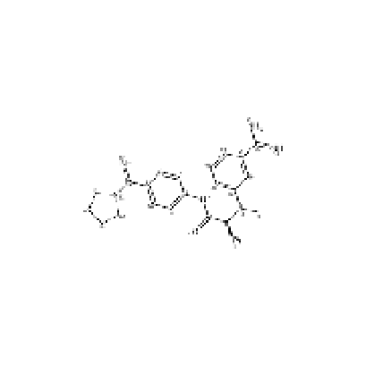 CC(C)[C@@H](C(=O)Oc1ccc(C(=N)N2CCCC2)cc1)N(C)c1cccc(C(=N)N)c1